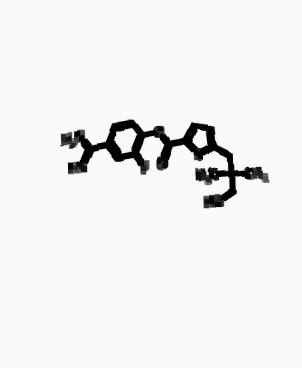 CC(C)(CO)Cc1ccc(C(=O)Oc2ccc(C(=N)N)cc2F)s1